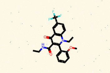 CCNC(=O)c1c(-c2ccccc2OC)n(CC)c2ccc(C(F)(F)F)cc2c1=O